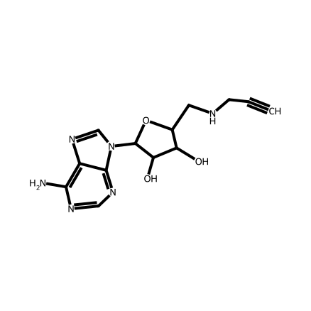 C#CCNCC1OC(n2cnc3c(N)ncnc32)C(O)C1O